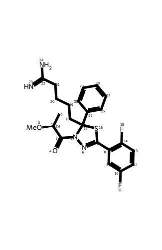 CO[C@@H](C)C(=O)N1N=C(c2cc(F)ccc2F)SC1(CCCCC(=N)N)c1ccccc1